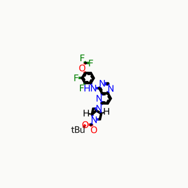 CC(C)(C)OC(=O)N1C[C@@H]2C[C@H]1CN2c1ccc2ncnc(Nc3ccc(OC(F)F)c(F)c3F)c2n1